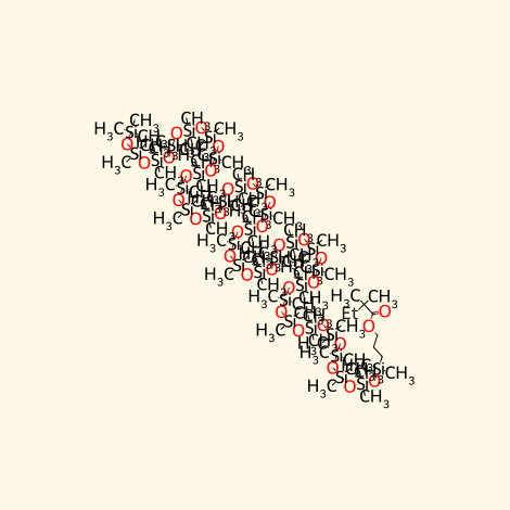 CCC(C)(C)C(=O)OCCC[Si](C)(C)O[Si](C)(C)O[Si](C)(C)O[Si](C)(C)O[Si](C)(C)O[Si](C)(C)O[Si](C)(C)O[Si](C)(C)O[Si](C)(C)O[Si](C)(C)O[Si](C)(C)O[Si](C)(C)O[Si](C)(C)O[Si](C)(C)O[Si](C)(C)O[Si](C)(C)O[Si](C)(C)O[Si](C)(C)O[Si](C)(C)O[Si](C)(C)O[Si](C)(C)O[Si](C)(C)O[Si](C)(C)O[Si](C)(C)O[Si](C)(C)O[Si](C)(C)O[Si](C)(C)O[Si](C)(C)O[Si](C)(C)O[Si](C)(C)O[Si](C)(C)O[Si](C)(C)C